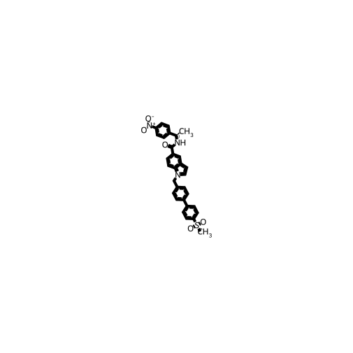 C[C@H](NC(=O)c1ccc2c(ccn2Cc2ccc(-c3ccc(S(C)(=O)=O)cc3)cc2)c1)c1ccc([N+](=O)[O-])cc1